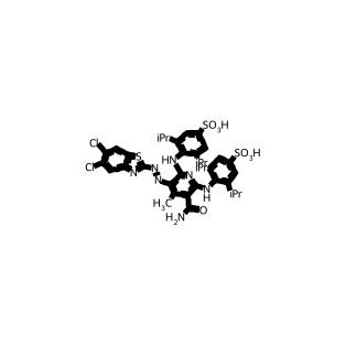 Cc1c(N=Nc2nc3cc(Cl)c(Cl)cc3s2)c(Nc2c(C(C)C)cc(S(=O)(=O)O)cc2C(C)C)nc(Nc2c(C(C)C)cc(S(=O)(=O)O)cc2C(C)C)c1C(N)=O